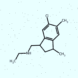 CCNCC1CC(C)c2cc(C)c(Cl)cc21